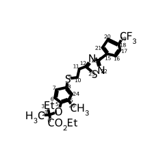 CCOC(=O)C(C)(CC)Oc1ccc(SCCc2nc(-c3ccc(C(F)(F)F)cc3)ns2)cc1C